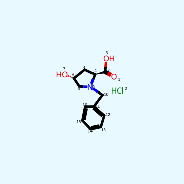 Cl.O=C(O)[C@@H]1C[C@@H](O)CN1Cc1ccccc1